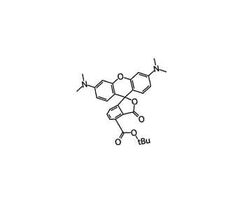 CN(C)c1ccc2c(c1)Oc1cc(N(C)C)ccc1C21OC(=O)c2c(C(=O)OC(C)(C)C)cccc21